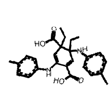 CCC1(Nc2ccc(C)cc2)C=C(C(=O)O)C(Nc2ccc(C)cc2)=CC1(CC)C(=O)O